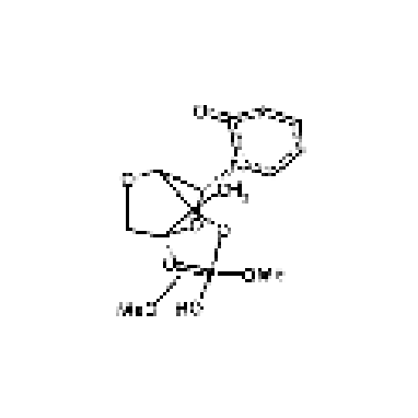 COC[C@@]12COC([C@H](n3ccccc3=O)O1)C2(C)OP(=O)(O)OC